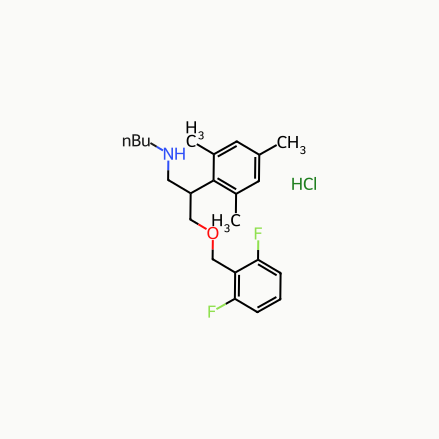 CCCCNCC(COCc1c(F)cccc1F)c1c(C)cc(C)cc1C.Cl